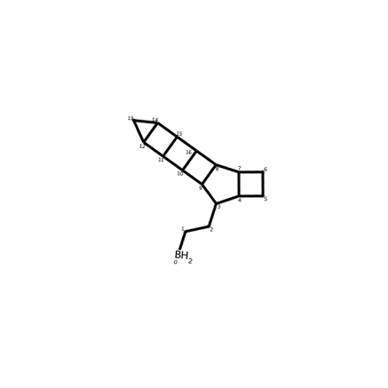 BCCC1C2CCC2C2C1C1C3C4CC4C3C21